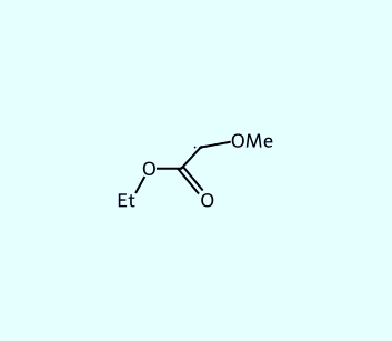 CCOC(=O)[CH]OC